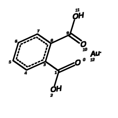 O=C(O)c1ccccc1C(=O)O.[Au]